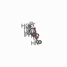 CC(C)[C@H](O)C(=O)N[C@H]1Cc2ccc3c(c2)C2(C4=C(CCC=C4)NC2O3)c2oc(nc2-c2ncc(C3CNc4ccccc43)o2)[C@H](C(C)C)NC1=O